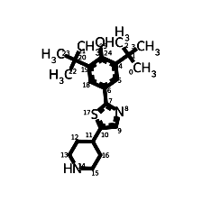 CC(C)(C)c1cc(-c2ncc(C3CCNCC3)s2)cc(C(C)(C)C)c1O